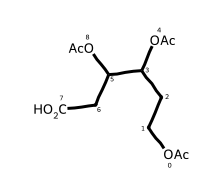 CC(=O)OCCC(OC(C)=O)C(CC(=O)O)OC(C)=O